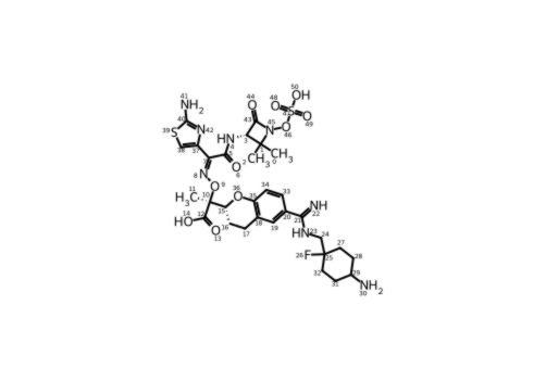 CC1(C)[C@H](NC(=O)/C(=N\O[C@](C)(C(=O)O)[C@H]2CCc3cc(C(=N)NCC4(F)CCC(N)CC4)ccc3O2)c2csc(N)n2)C(=O)N1OS(=O)(=O)O